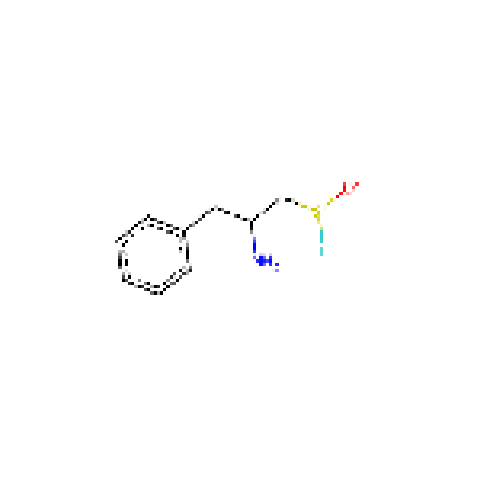 NC(Cc1ccccc1)C[S+]([O-])F